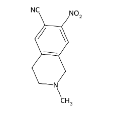 CN1CCc2cc(C#N)c([N+](=O)[O-])cc2C1